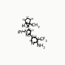 CC(C)n1nc(-c2cnc(N)c(C(F)(F)F)c2)cc1[C@@H]1[C@@H]2CCCC12C